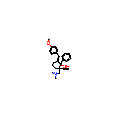 C#CC1(CN(C)C)CCCC(=Cc2ccc(OC)cc2)C1(O)c1ccccc1